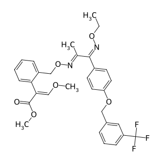 CCO/N=C(\C(C)=N\OCc1ccccc1/C(=C\OC)C(=O)OC)c1ccc(OCc2cccc(C(F)(F)F)c2)cc1